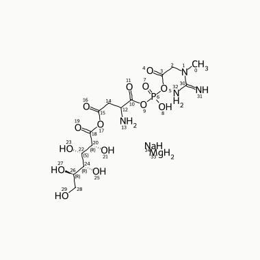 CN(CC(=O)OP(=O)(O)OC(=O)C(N)CC(=O)OC(=O)[C@H](O)[C@@H](O)[C@H](O)[C@H](O)CO)C(=N)N.[MgH2].[NaH]